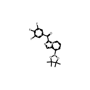 CC1(C)OB(c2cccn3c(C(=O)c4cc(F)c(F)c(F)c4)ncc23)OC1(C)C